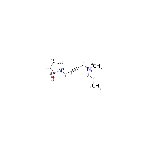 CCCN(C)CC#CCN1CCCC1=O